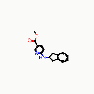 COC(=O)c1ccc(NC2Cc3ccccc3C2)nc1